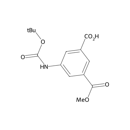 COC(=O)c1cc(NC(=O)OC(C)(C)C)cc(C(=O)O)c1